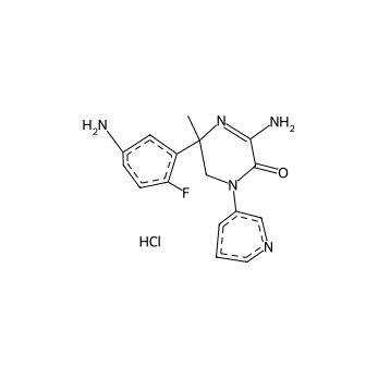 CC1(c2cc(N)ccc2F)CN(c2cccnc2)C(=O)C(N)=N1.Cl